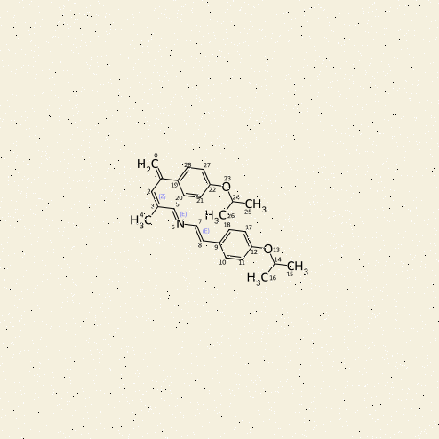 C=C(\C=C(C)/C=N/C=C/c1ccc(OC(C)C)cc1)c1ccc(OC(C)C)cc1